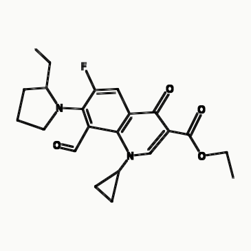 CCOC(=O)c1cn(C2CC2)c2c(C=O)c(N3CCCC3CC)c(F)cc2c1=O